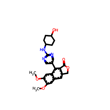 COc1cc2cc3c(c(-c4cnc(NC5CCC(O)CC5)nc4)c2cc1OC)C(=O)OC3